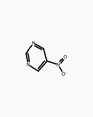 O=[N+]([O-])c1cncnc1